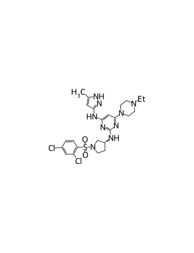 CCN1CCN(c2cc(Nc3cc(C)[nH]n3)nc(N[C@H]3CCN(S(=O)(=O)c4ccc(Cl)cc4Cl)C3)n2)CC1